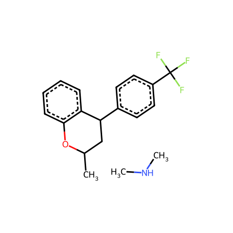 CC1CC(c2ccc(C(F)(F)F)cc2)c2ccccc2O1.CNC